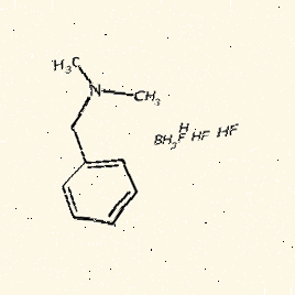 B.CN(C)Cc1ccccc1.F.F.F